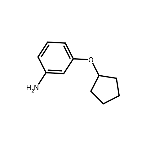 Nc1cccc(OC2CCCC2)c1